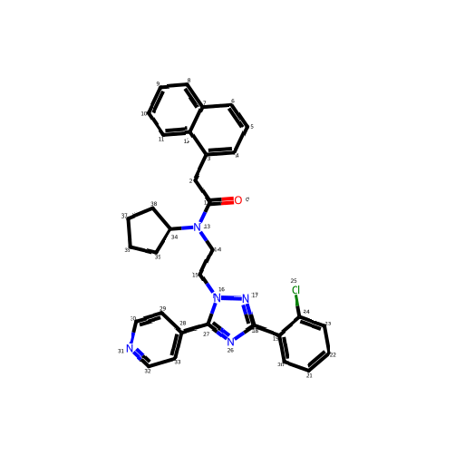 O=C(Cc1cccc2ccccc12)N(CCn1nc(-c2ccccc2Cl)nc1-c1ccncc1)C1CCCC1